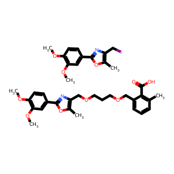 COc1ccc(-c2nc(CI)c(C)o2)cc1OC.COc1ccc(-c2nc(COCCCOCc3cccc(C)c3C(=O)O)c(C)o2)cc1OC